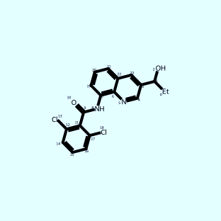 CCC(O)c1cnc2c(NC(=O)c3c(Cl)cccc3Cl)cccc2c1